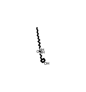 CCCCCCCCCCCCCCNC(=O)NCCCc1ccc(O)cc1